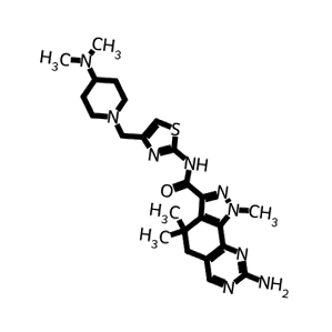 CN(C)C1CCN(Cc2csc(NC(=O)c3nn(C)c4c3C(C)(C)Cc3cnc(N)nc3-4)n2)CC1